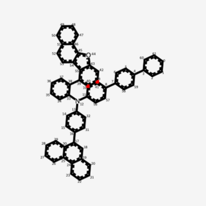 c1ccc(-c2ccc(-c3ccc(N(c4ccc(-c5cc6ccccc6c6ccccc56)cc4)c4ccccc4-c4cccc5oc6c7ccccc7ccc6c45)cc3)cc2)cc1